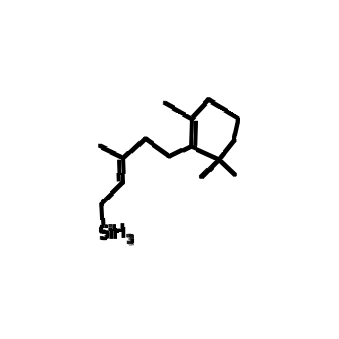 CC(=CC[SiH3])CCC1=C(C)CCCC1(C)C